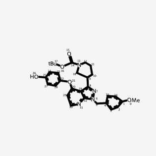 COc1ccc(Cn2nc(C3CCCN(C(=O)OC(C)(C)C)C3)c3c(Oc4ccc(O)cc4)ccnc32)cc1